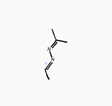 C/C=N/N=C(C)C